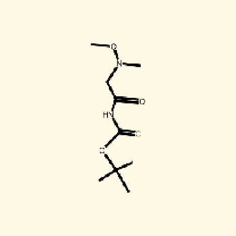 CON(C)CC(=O)NC(=O)OC(C)(C)C